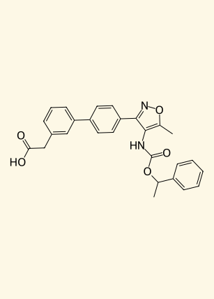 Cc1onc(-c2ccc(-c3cccc(CC(=O)O)c3)cc2)c1NC(=O)OC(C)c1ccccc1